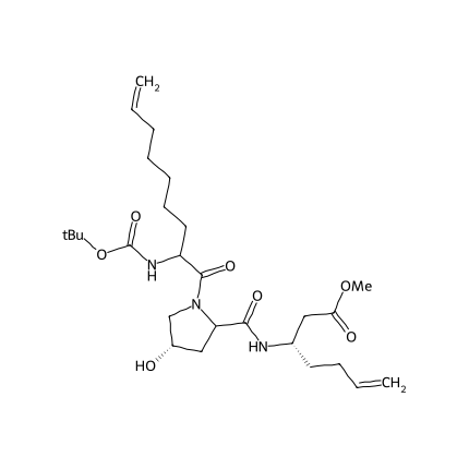 C=CCCCCCC(NC(=O)OC(C)(C)C)C(=O)N1C[C@@H](O)CC1C(=O)N[C@@H](CCC=C)CC(=O)OC